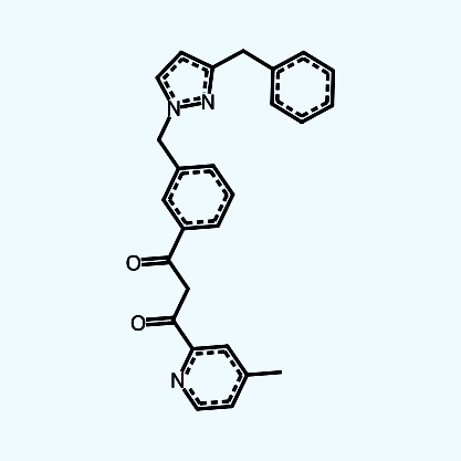 Cc1ccnc(C(=O)CC(=O)c2cccc(Cn3ccc(Cc4ccccc4)n3)c2)c1